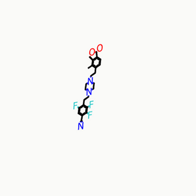 Cc1c(CCN2CCN(CCc3c(F)cc(C#N)c(F)c3F)CC2)ccc2c1COC2=O